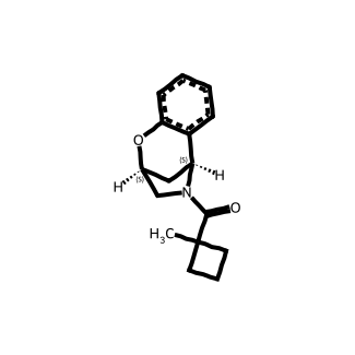 CC1(C(=O)N2C[C@@H]3C[C@H]2c2ccccc2O3)CCC1